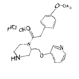 COc1ccc(CC(=O)N2CCNCC2COc2cccnc2)cc1.Cl.Cl